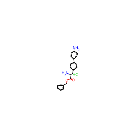 Cl.Nc1ccc(-c2ccc(C[C@H](N)C(=O)OCc3ccccc3)cc2)cc1